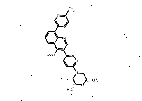 COc1c(-c2ccc(N3C[C@@H](C)O[C@@H](C)C3)nc2)cnc2c(-c3ccc(C)nc3)cccc12